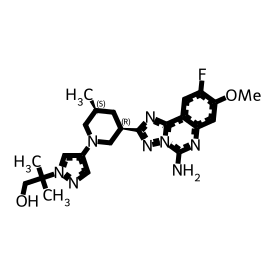 COc1cc2nc(N)n3nc([C@@H]4C[C@H](C)CN(c5cnn(C(C)(C)CO)c5)C4)nc3c2cc1F